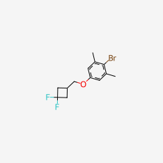 Cc1cc(OCC2CC(F)(F)C2)cc(C)c1Br